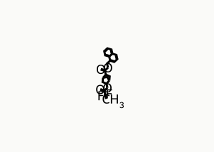 CC(F)(F)C(=O)OC1CC2CC1CC2C(=O)OCc1cccc2ccccc12